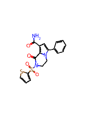 NC(=O)c1cc(-c2ccccc2)n2c1C(=O)N(S(=O)(=O)c1cccs1)CC2